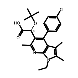 CCn1c(C)c(C)c2c(-c3ccc(Cl)cc3)c([C@@H](OC(C)(C)C)C(=O)O)c(C)nc21